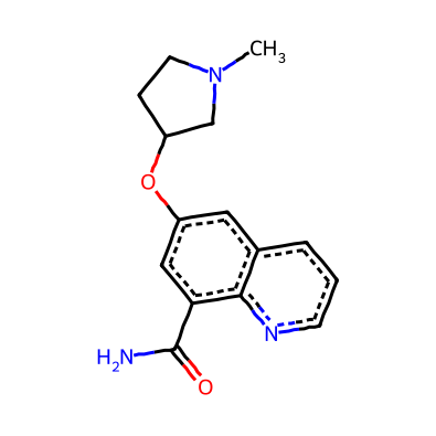 CN1CCC(Oc2cc(C(N)=O)c3ncccc3c2)C1